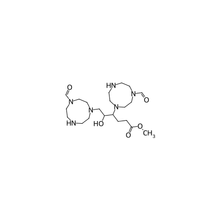 COC(=O)CCC(C(O)CN1CCNCCN(C=O)CC1)N1CCNCCN(C=O)CC1